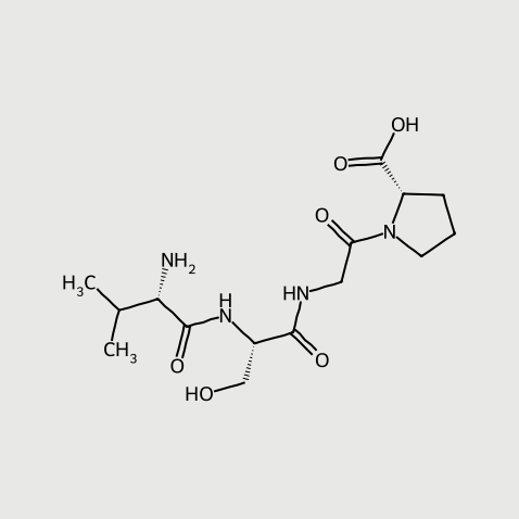 CC(C)[C@H](N)C(=O)N[C@@H](CO)C(=O)NCC(=O)N1CCC[C@H]1C(=O)O